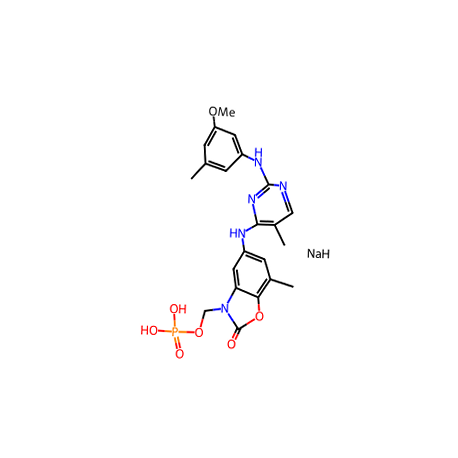 COc1cc(C)cc(Nc2ncc(C)c(Nc3cc(C)c4oc(=O)n(COP(=O)(O)O)c4c3)n2)c1.[NaH]